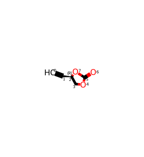 C#C[C@@H]1COC(=O)O1